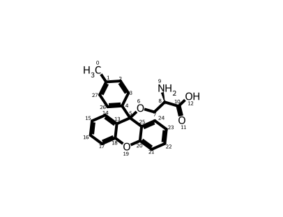 Cc1ccc(C2(OC[C@@H](N)C(=O)O)c3ccccc3Oc3ccccc32)cc1